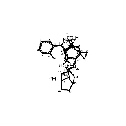 Cc1ccccc1-c1noc(C2CC2)c1CO[C@@H]1CC2CC[C@@H](C1)N2c1nc2ccc(C(=O)O)cc2s1